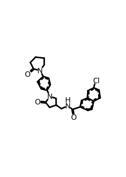 O=C(NCC1CC(=O)N(c2ccc(N3CCCCC3=O)cc2)C1)c1ccc2ccc(Cl)cc2c1